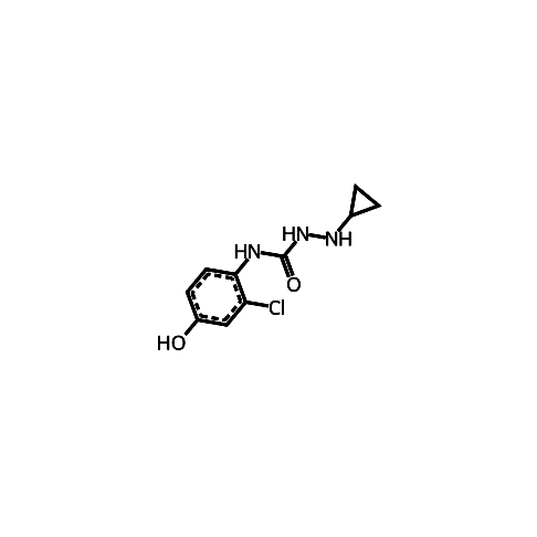 O=C(NNC1CC1)Nc1ccc(O)cc1Cl